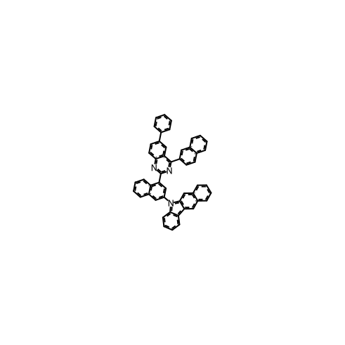 c1ccc(-c2ccc3nc(-c4cc(-n5c6ccccc6c6cc7ccccc7cc65)cc5ccccc45)nc(-c4ccc5ccccc5c4)c3c2)cc1